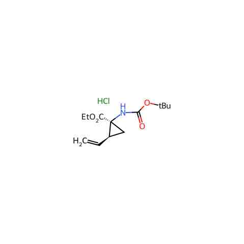 C=C[C@@H]1C[C@@]1(NC(=O)OC(C)(C)C)C(=O)OCC.Cl